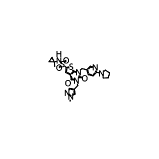 Cn1cc(Cn2c(=O)c3cc(S(=O)(=O)NC4(C)CC4)sc3n(Cc3ccc(N4CCCC4)nc3)c2=O)cn1